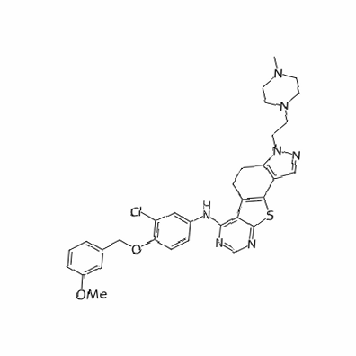 COc1cccc(COc2ccc(Nc3ncnc4sc5c(c34)CCc3c-5cnn3CCN3CCN(C)CC3)cc2Cl)c1